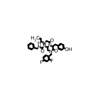 C=CCN1CC(=O)N2C(Cc3ccc(O)cc3)C(=O)N(Cc3ccc(F)cc3F)CC2N1C(=O)NCc1ccccc1